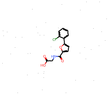 O=C(O)CNC(=O)c1ccc(-c2ccccc2Cl)o1